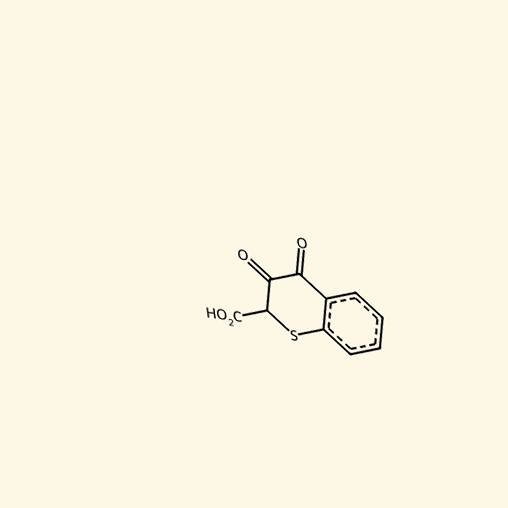 O=C1C(=O)C(C(=O)O)Sc2ccccc21